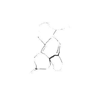 CC1=CCCC2=C3SC(=O)CC34CCCCC4=CN12